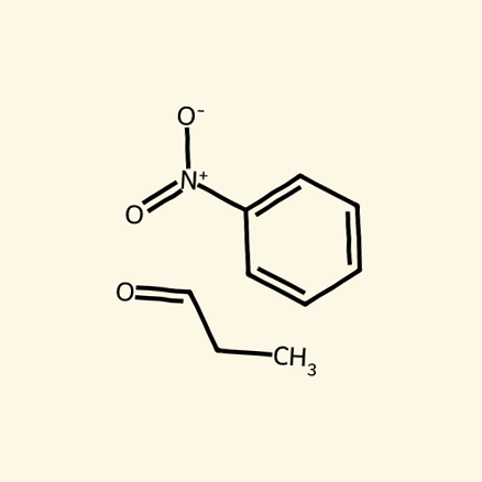 CCC=O.O=[N+]([O-])c1ccccc1